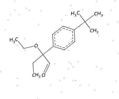 CCOC(C=O)(CC)c1ccc(C(C)(C)C)cc1